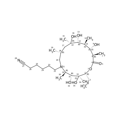 CC[C@H]1OC(=O)[C@H](C)[C@@H](O)[C@H](C)[C@@H](O)[C@](C)(O)C[C@@H](C)CN(CCCCCC#N)[C@H](C)[C@@H](O)[C@]1(C)O